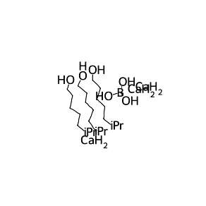 CC(C)CCCCCO.CC(C)CCCCCO.CC(C)CCCCCO.OB(O)O.[CaH2].[CaH2].[CaH2]